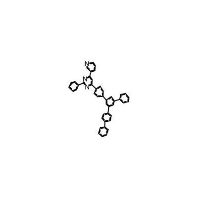 c1ccc(-c2ccc(-c3cc(-c4ccccc4)cc(-c4ccc(-c5cc(-c6cccnc6)nc(-c6ccccc6)n5)cc4)c3)cc2)cc1